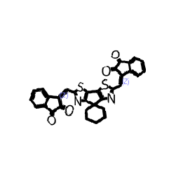 O=C1C(=O)c2ccccc2/C1=C/c1nc2c(s1)-c1sc(/C=C3\C(=O)C(=O)c4ccccc43)nc1C21CCCCC1